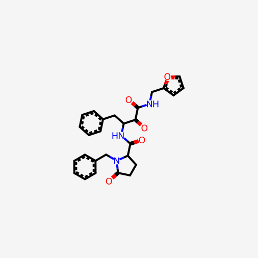 O=C(NCc1ccco1)C(=O)C(Cc1ccccc1)NC(=O)C1CCC(=O)N1Cc1ccccc1